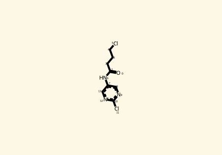 O=C(CCCCl)Nc1cnc(Cl)nc1